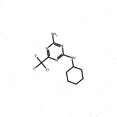 Nc1nc(NC2CCCCC2)nc(C(F)(F)Cl)n1